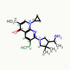 CC(N)C1CN(c2nc3c(cc2F)c(=O)c(C(=O)O)cn3C2CC2)CC1(C)C.Cl